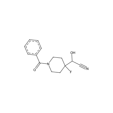 N#CC(O)C1(F)CCN(C(=O)c2ccccc2)CC1